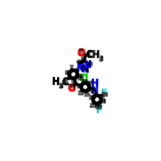 CC(=O)c1cn(-c2ccc(C)c(C(=O)c3ccc(Nc4ccc(F)cc4F)cc3Cl)c2)nn1